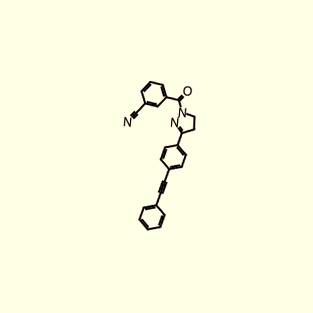 N#Cc1cccc(C(=O)N2CCC(c3ccc(C#Cc4ccccc4)cc3)=N2)c1